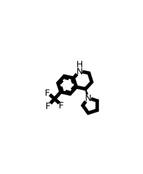 FC(F)(F)c1ccc2c(c1)[C@H](N1CCCC1)CCN2